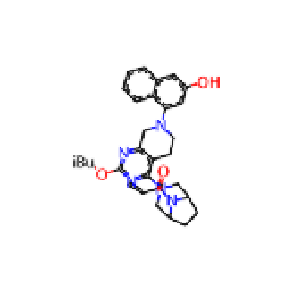 C=CC(=O)N1C2CCC1CN(c1nc(OC(C)CC)nc3c1CCN(c1cc(O)cc4ccccc14)C3)C2